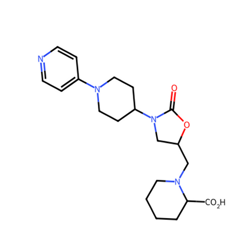 O=C(O)C1CCCCN1CC1CN(C2CCN(c3ccncc3)CC2)C(=O)O1